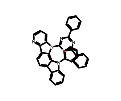 c1ccc(-c2nc(-c3ccccc3)nc(-n3c4cccnc4c4ccc5c6ccccc6n(-c6ccccc6)c5c43)n2)cc1